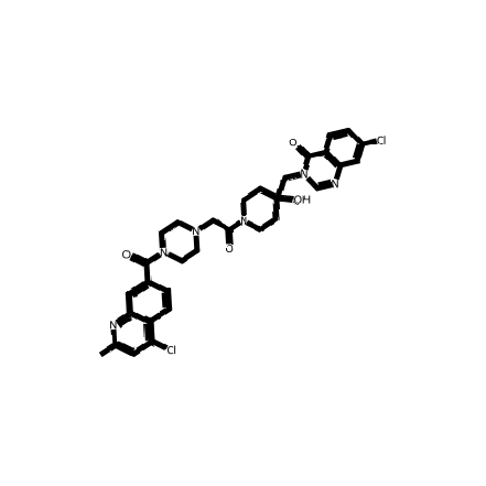 Cc1cc(Cl)c2ccc(C(=O)N3CCN(CC(=O)N4CCC(O)(Cn5cnc6cc(Cl)ccc6c5=O)CC4)CC3)cc2n1